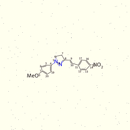 COc1ccc(N2CCC(C=Cc3ccc([N+](=O)[O-])cc3)=N2)cc1